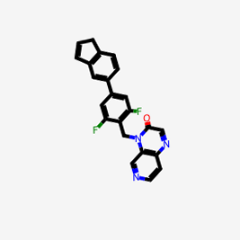 O=c1cnc2ccncc2n1Cc1c(F)cc(-c2ccc3c(c2)C=CC3)cc1F